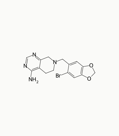 Nc1ncnc2c1CCN(Cc1cc3c(cc1Br)OCO3)C2